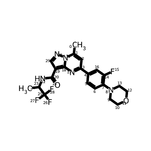 Cc1cc(-c2ccc(N3CCOCC3)c(F)c2)nc2c(C(=O)NC(C)C(F)(F)F)cnn12